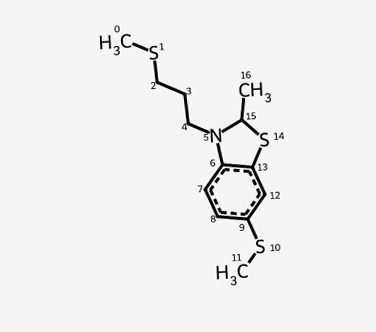 CSCCCN1c2ccc(SC)cc2SC1C